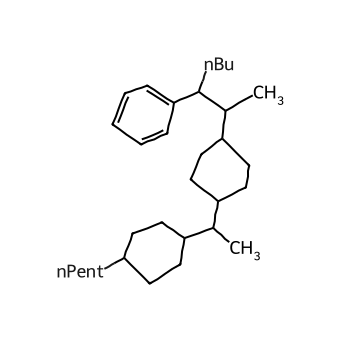 CCCCCC1CCC(C(C)C2CCC(C(C)C(CCCC)c3ccccc3)CC2)CC1